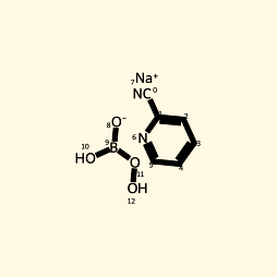 N#Cc1ccccn1.[Na+].[O-]B(O)OO